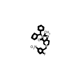 Cc1nc2c(c(=O)n1C(c1ccccc1)c1ccccc1)CN(Cc1cc([N+](=O)[O-])ccc1F)CC2